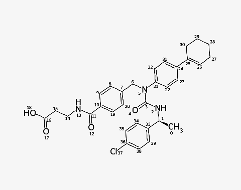 C[C@H](NC(=O)N(Cc1ccc(C(=O)NCCC(=O)O)cc1)c1ccc(C2=CCCCC2)cc1)c1ccc(Cl)cc1